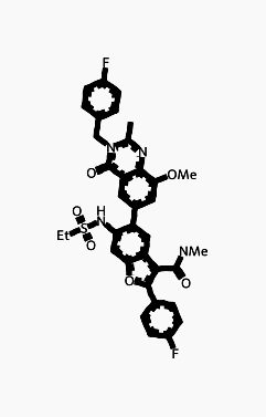 CCS(=O)(=O)Nc1cc2oc(-c3ccc(F)cc3)c(C(=O)NC)c2cc1-c1cc(OC)c2nc(C)n(Cc3ccc(F)cc3)c(=O)c2c1